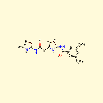 COc1cc(OC)cc(C(=O)Nc2nc(CC(=O)Nc3nc(C)cs3)cs2)c1